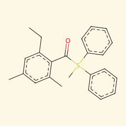 CCc1cc(C)cc(C)c1C(=O)S(C)(c1ccccc1)c1ccccc1